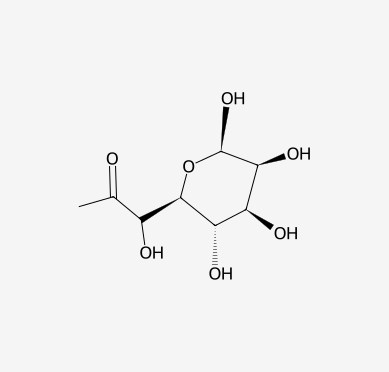 CC(=O)C(O)[C@H]1O[C@@H](O)[C@@H](O)[C@@H](O)[C@@H]1O